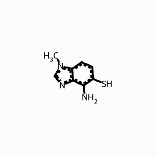 Cn1cnc2c(N)c(S)ccc21